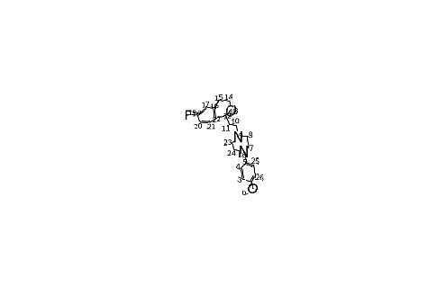 COc1ccc(N2CCN(CCC3OCCc4cc(F)ccc43)CC2)cc1